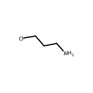 [AlH2][CH2]CCCl